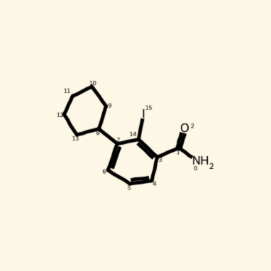 NC(=O)c1cccc(C2CCCCC2)c1I